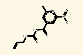 C=CCNC(=O)NC(=O)c1cc(C)nc([N+](=O)[O-])c1